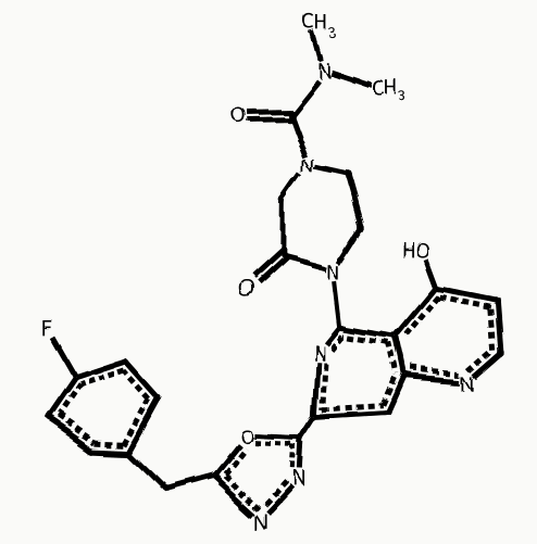 CN(C)C(=O)N1CCN(c2nc(-c3nnc(Cc4ccc(F)cc4)o3)cc3nccc(O)c23)C(=O)C1